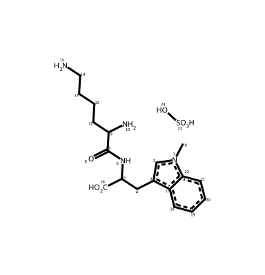 Cn1cc(CC(NC(=O)C(N)CCCCN)C(=O)O)c2ccccc21.O=S(=O)(O)O